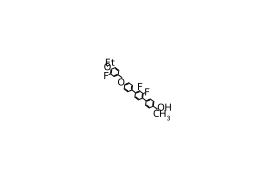 CCOc1ccc(COc2ccc(-c3ccc(-c4ccc(C(C)O)cc4)c(F)c3F)cc2)cc1F